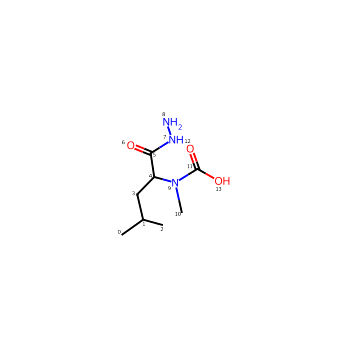 CC(C)CC(C(=O)NN)N(C)C(=O)O